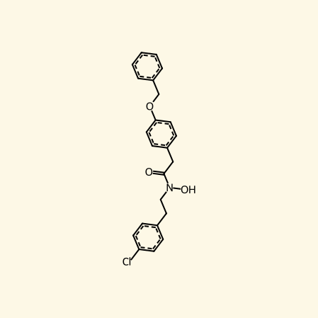 O=C(Cc1ccc(OCc2ccccc2)cc1)N(O)CCc1ccc(Cl)cc1